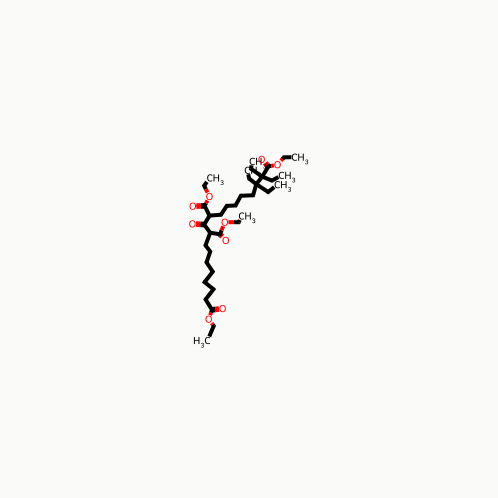 CCOC(=O)CCCCCCCC(C(=O)OCC)C(=O)C(CCCCCC(CC)(CC)C(CC)(CC)C(=O)OCC)C(=O)OCC